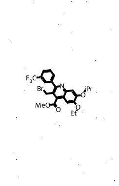 CCOc1cc2c(C(=O)OC)c(CBr)c(-c3cccc(C(F)(F)F)c3)nc2cc1OC(C)C